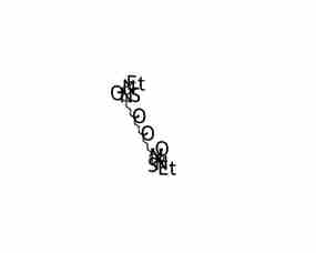 CCN1CC(=O)N(C(C)(C)CCCC(=O)CCCC(=O)CCCC(C)(C)N2C(=O)CN(CC)C2=S)C1=S